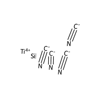 [C-]#N.[C-]#N.[C-]#N.[C-]#N.[Si].[Ti+4]